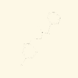 Nc1ccc(OCC(=O)Nc2ccccc2)cc1